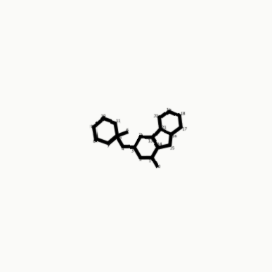 CC1CC(CC2(C)CCCCC2)CC2C1CC1CCCCC12